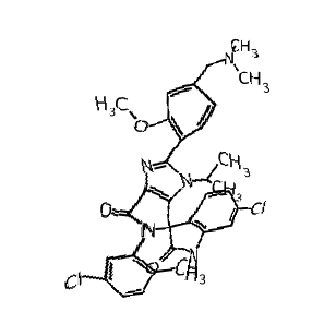 COc1cc(CN(C)C)ccc1-c1nc2c(n1C(C)C)C1(C(=O)Nc3cc(Cl)ccc31)N(c1cc(Cl)ccc1C)C2=O